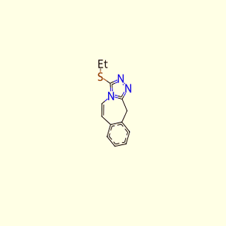 CCSc1nnc2n1C=Cc1ccccc1C2